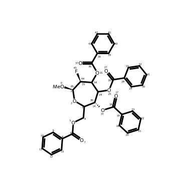 CO[C@@H]1OC(COC(=O)c2ccccc2)[C@@H](OC(=O)c2ccccc2)C(OC(=O)c2ccccc2)C(OC(=O)c2ccccc2)[C@@H]1F